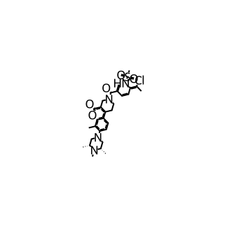 C=C(/C=C\C(NS(C)(=O)=O)=C(/C)Cl)C(=O)N1CCc2c(c(=O)oc3c(C)c(N4C[C@@H](C)N(C)[C@@H](C)C4)ccc23)C1